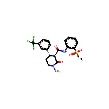 CN1CC[C@H](c2cccc(C(F)(F)F)c2)[C@@H](C(=O)Nc2ccccc2S(C)(=O)=O)C1=O